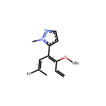 C=C/C(OCCCC)=C(\C=C(/C)CC)c1ccnn1C